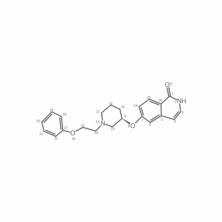 O=c1[nH]ccc2cc(O[C@@H]3CCCN(CCOc4ccccc4)C3)ccc12